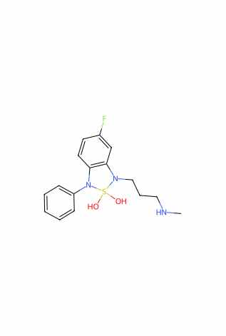 CNCCCN1c2cc(F)ccc2N(c2ccccc2)S1(O)O